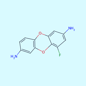 Nc1ccc2c(c1)Oc1c(F)cc(N)cc1O2